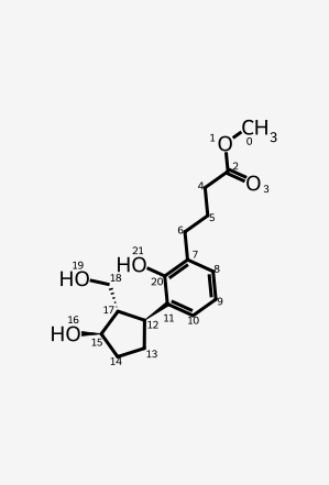 COC(=O)CCCc1cccc([C@H]2CC[C@@H](O)[C@@H]2CO)c1O